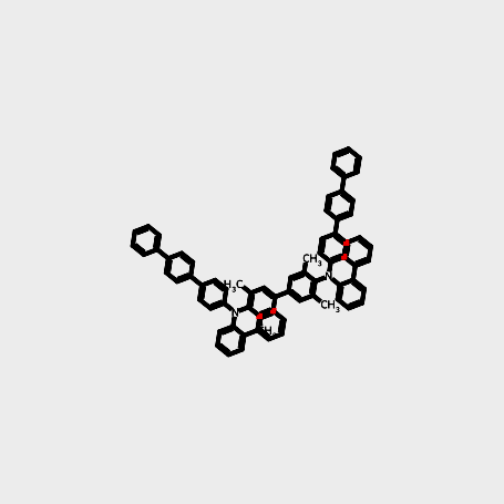 Cc1cc(-c2cc(C)c(N(c3ccc(-c4ccc(-c5ccccc5)cc4)cc3)c3ccccc3-c3ccccc3)c(C)c2)cc(C)c1N(c1ccc(-c2ccc(-c3ccccc3)cc2)cc1)c1ccccc1-c1ccccc1